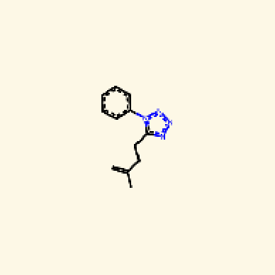 C=C(C)CCc1nnnn1-c1ccccc1